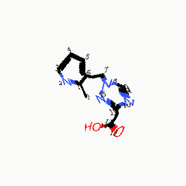 Cc1ncccc1Cn1cnc(C(=O)O)n1